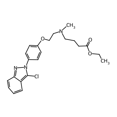 CCOC(=O)CCCN(C)CCOc1ccc(-n2nc3ccccc3c2Cl)cc1